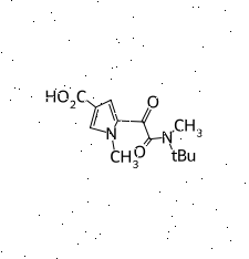 CN(C(=O)C(=O)c1cc(C(=O)O)cn1C)C(C)(C)C